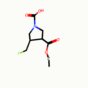 CCOC(=O)C1CN(C(=O)O)CC1CF